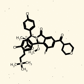 CO[C@@]1(c2ccc(Cl)cc2)c2c(F)cc(C(=O)C3CCOCC3)cc2C(=O)N1[C@H](c1ccc(Cl)cc1)[C@H](C)C(=O)OCC[Si](C)(C)C